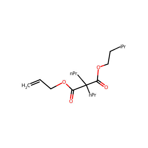 C=CCOC(=O)C(CCC)(CCC)C(=O)OCCC(C)C